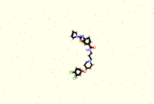 O=C(NCCCN1CCC(Oc2ccc(Cl)c(Cl)c2)CC1)c1ccc2nc(N3CC=CC3)sc2c1